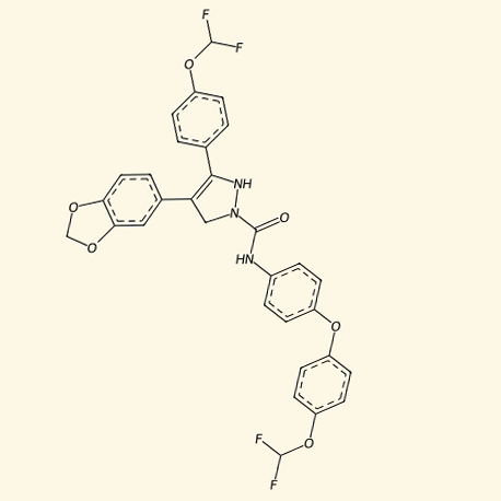 O=C(Nc1ccc(Oc2ccc(OC(F)F)cc2)cc1)N1CC(c2ccc3c(c2)OCO3)=C(c2ccc(OC(F)F)cc2)N1